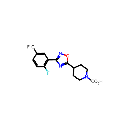 O=C(O)N1CCC(c2nc(-c3cc(C(F)(F)F)ccc3F)no2)CC1